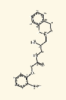 CC(=O)Nc1ccncc1OCC(=O)NCC(O)CN1CCc2ccccc2C1